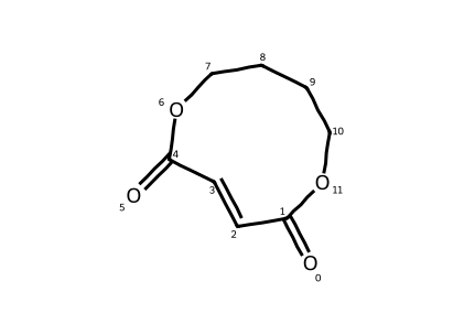 O=C1/C=C/C(=O)OCCCCO1